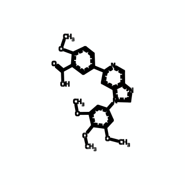 COc1ccc(-c2cc3c(cn2)ncn3-c2cc(OC)c(OC)c(OC)c2)cc1C(=O)O